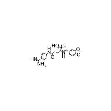 N=C(N)c1ccc(NC(=O)CCC(=O)NC(CC(=O)O)c2ccc3c(c2)OCO3)cc1